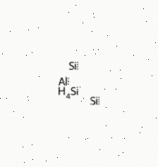 [Al].[SiH4].[Si].[Si]